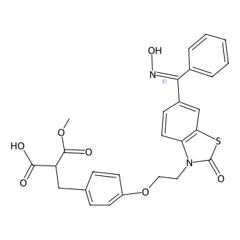 COC(=O)C(Cc1ccc(OCCn2c(=O)sc3cc(/C(=N/O)c4ccccc4)ccc32)cc1)C(=O)O